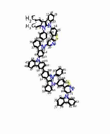 C=C/C=c1\c(=C/C)n(-c2ccccc2)c2c1c1ccccc1n2-c1ccc2sc3ncc(-n4c5ccccc5c5cc(-n6c7ccccc7c7cc(-c8ccc9c%10c%11ccccc%11n(-c%11ccc%12sc%13ncc(-n%14c%15ccccc%15c%15ccccc%15%14)cc%13c%12c%11)c%10n(-c%10ccccc%10)c9c8)ccc76)ccc54)cc3c2c1